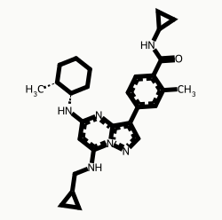 Cc1cc(-c2cnn3c(NCC4CC4)cc(N[C@H]4CCCC[C@H]4C)nc23)ccc1C(=O)NC1CC1